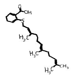 CC(C)=CCC/C(C)=C/CC/C(C)=C/CSC1=CCCC=C1C(=O)O